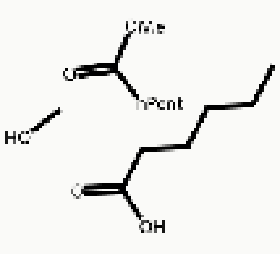 CCCCCC(=O)O.CCCCCC(=O)OC.CO